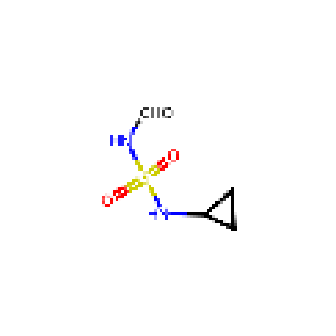 O=CNS(=O)(=O)NC1CC1